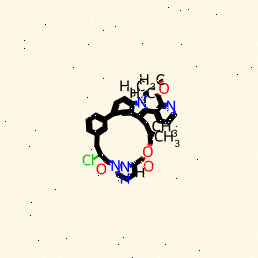 CCn1c(-c2cccnc2[C@H](C)OC)c2c3cc(ccc31)-c1cccc(c1)C[C@H](Cl)C(=O)N1CCC[C@H](N1)C(=O)OCC(C)(C)C2